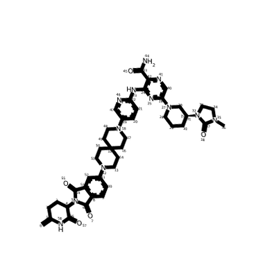 C=C1CCC(N2C(=O)c3ccc(N4CCC5(CCN(c6ccc(Nc7nc(N8CCC[C@H](N9CCN(C)C9=O)C8)cnc7C(N)=O)nc6)CC5)CC4)cc3C2=O)C(=O)N1